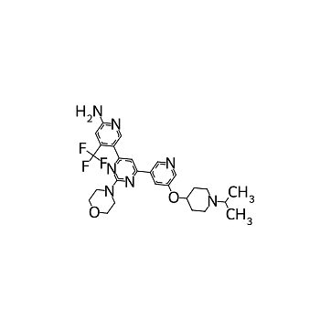 CC(C)N1CCC(Oc2cncc(-c3cc(-c4cnc(N)cc4C(F)(F)F)nc(N4CCOCC4)n3)c2)CC1